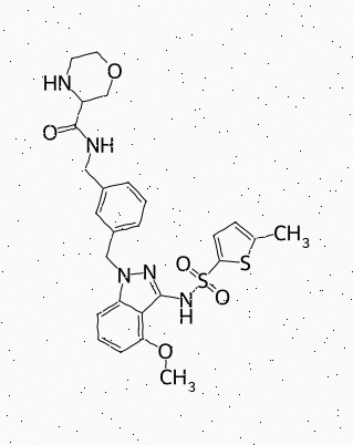 COc1cccc2c1c(NS(=O)(=O)c1ccc(C)s1)nn2Cc1cccc(CNC(=O)C2COCCN2)c1